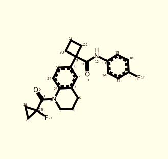 O=C(N1CCCc2cc(C3(C(=O)Nc4ccc(F)cc4)CCC3)ccc21)C1(F)CC1